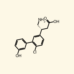 NC[C@H](CC(=O)O)c1ccc(Cl)c(-c2cccc(O)c2)c1